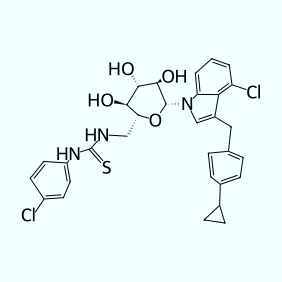 O[C@@H]1[C@@H](O)[C@H](n2cc(Cc3ccc(C4CC4)cc3)c3c(Cl)cccc32)O[C@H](CNC(=S)Nc2ccc(Cl)cc2)[C@H]1O